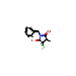 CC1C(=O)N(Cc2ccccc2)C(O)C1Cl